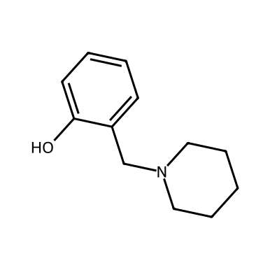 Oc1ccccc1CN1CCCCC1